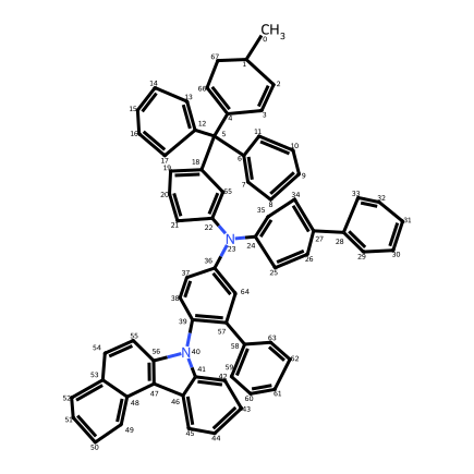 CC1C=CC(C(c2ccccc2)(c2ccccc2)c2cccc(N(c3ccc(-c4ccccc4)cc3)c3ccc(-n4c5ccccc5c5c6ccccc6ccc54)c(-c4ccccc4)c3)c2)=CC1